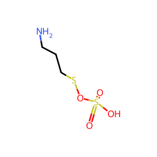 NCCCSOS(=O)(=O)O